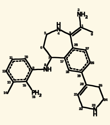 C/C(N)=C1/NCCC(Nc2cccc(C)c2P)c2cc(C3=CCNCC3)ccc21